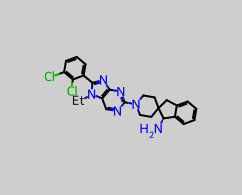 CCn1c(-c2cccc(Cl)c2Cl)nc2nc(N3CCC4(CC3)Cc3ccccc3[C@H]4N)ncc21